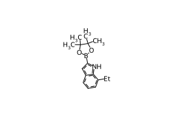 CCc1cccc2cc(B3OC(C)(C)C(C)(C)O3)[nH]c12